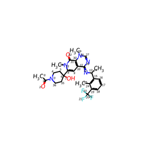 CC(=O)N1CCC(O)(c2cc3/c(=N/C(C)c4cccc(C(F)(F)F)c4C)ncn(C)c3c(=O)n2C)CC1